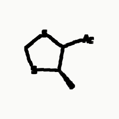 CC(=O)C1SCS[C@@H]1C